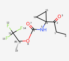 CCC(=O)C1(NC(=O)O[C@H](C)C(F)(F)F)CC1